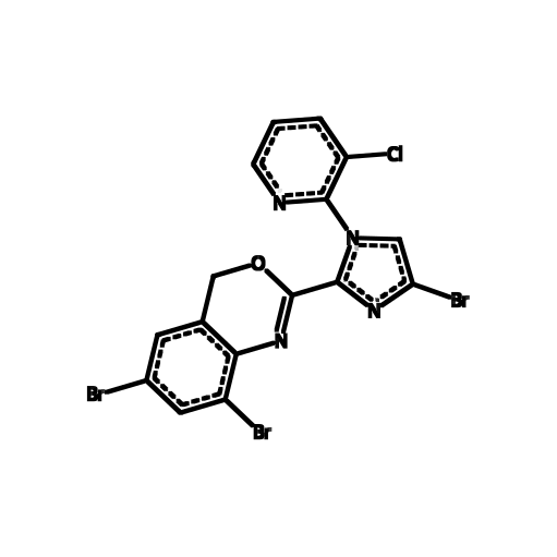 Clc1cccnc1-n1cc(Br)nc1C1=Nc2c(Br)cc(Br)cc2CO1